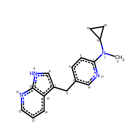 CN(c1ccc(Cc2c[nH]c3ncccc23)cn1)C1CC1